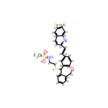 O=S(=O)(NCCSC1c2ccccc2COc2ccc(C=Cc3ccc4cc(F)c(F)cc4n3)cc21)C(F)(F)F